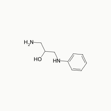 NCC(O)CNc1ccccc1